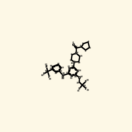 O=C(C1CCCC1)N1CCN(c2nc(Nc3cccc(C(F)(F)F)c3)nc(OCC(F)(F)F)n2)CC1